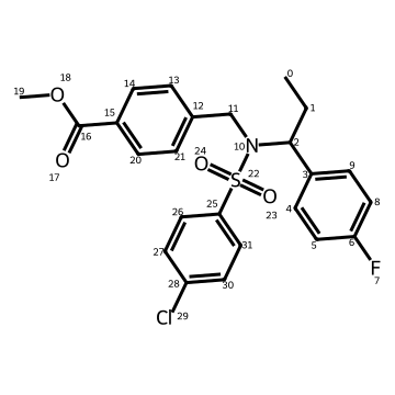 CCC(c1ccc(F)cc1)N(Cc1ccc(C(=O)OC)cc1)S(=O)(=O)c1ccc(Cl)cc1